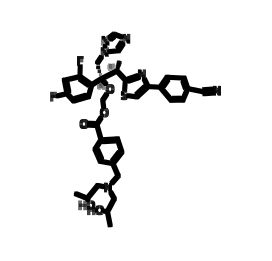 CC(O)CN(Cc1ccc(C(=O)OCO[C@@](Cn2cncn2)(c2ccc(F)cc2F)[C@@H](C)c2nc(-c3ccc(C#N)cc3)cs2)cc1)CC(C)O